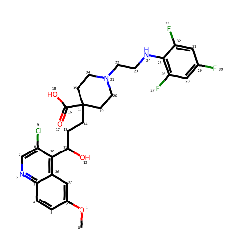 COc1ccc2ncc(Cl)c(C(O)CCC3(C(=O)O)CCN(CCNc4c(F)cc(F)cc4F)CC3)c2c1